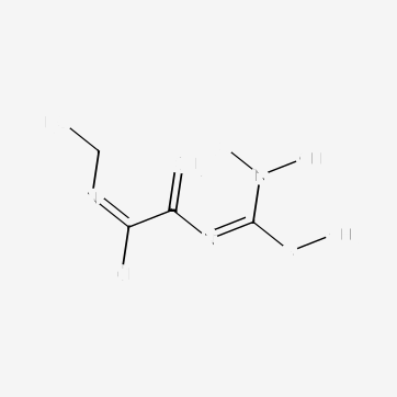 C=C(/N=C(/SC)N(C)C)/C(Cl)=N\CC